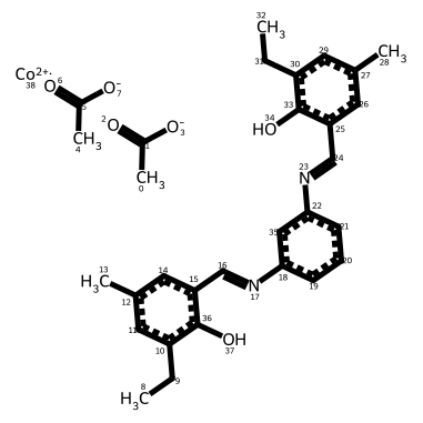 CC(=O)[O-].CC(=O)[O-].CCc1cc(C)cc(C=Nc2cccc(N=Cc3cc(C)cc(CC)c3O)c2)c1O.[Co+2]